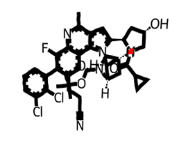 Cc1nc2c(F)c(-c3cccc(Cl)c3Cl)c(CCC#N)cc2c2c1cc([C@H]1C[C@H](O)CN1C(=O)C1CC1)n2[C@H]1[C@@H]2C[C@H]1N(C(=O)OC(C)(C)C)C2